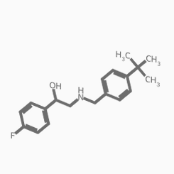 CC(C)(C)c1ccc(CNCC(O)c2ccc(F)cc2)cc1